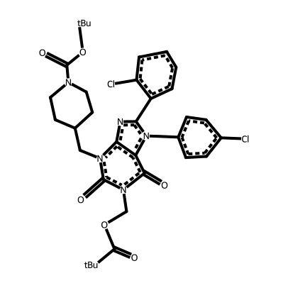 CC(C)(C)OC(=O)N1CCC(Cn2c(=O)n(COC(=O)C(C)(C)C)c(=O)c3c2nc(-c2ccccc2Cl)n3-c2ccc(Cl)cc2)CC1